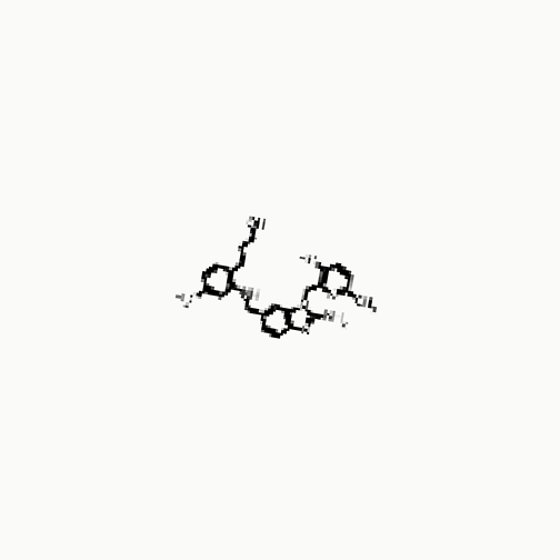 Cc1ccc(CCCO)c(NCc2ccc3nc(N)n(Cc4nc(C)ccc4O)c3c2)c1